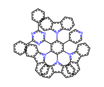 c1ccc(-c2nc(-c3ccccc3)nc(-c3c(-n4c5ccccc5c5ccccc54)c(-c4ccncc4)c(-n4c5ccccc5c5ccccc54)c(-n4c5ccccc5c5ccccc54)c3-n3c4ccccc4c4ccccc43)n2)cc1